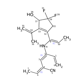 C=C/C(=C\C(C#N)=C/C)N/C(=C/C)C1=C(C(=C)C)C(O)C(F)(F)C1